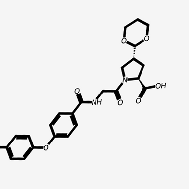 O=C(NCC(=O)N1C[C@H](C2OCCCO2)C[C@H]1C(=O)O)c1ccc(Oc2ccc(F)cc2)cc1